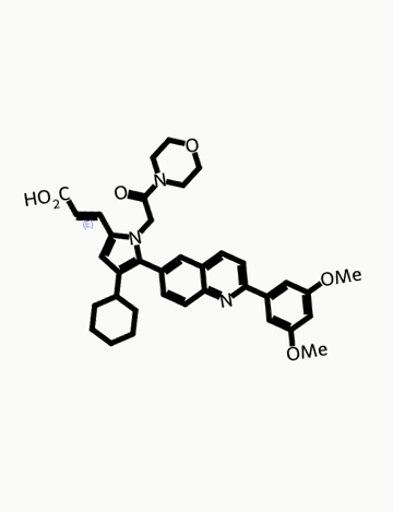 COc1cc(OC)cc(-c2ccc3cc(-c4c(C5CCCCC5)cc(/C=C/C(=O)O)n4CC(=O)N4CCOCC4)ccc3n2)c1